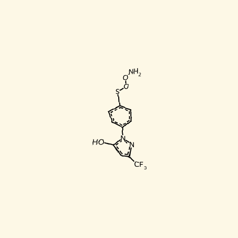 NOOSc1ccc(-n2nc(C(F)(F)F)cc2O)cc1